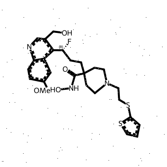 COc1ccc2ncc(CO)c([C@H](F)CCC3(C(=O)NO)CCN(CCSc4cccs4)CC3)c2c1